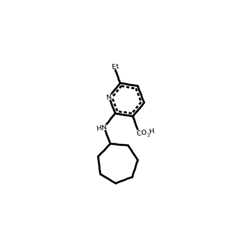 CCc1ccc(C(=O)O)c(NC2CCCCCC2)n1